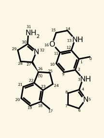 Cc1c(NC2=NCCC2)ccc2c1NCCO2.Cc1cccc2c1CC[C@@H]2C1CCC(N)=N1